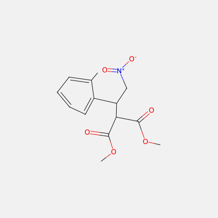 COC(=O)C(C(=O)OC)C(C[N+](=O)[O-])c1ccccc1C